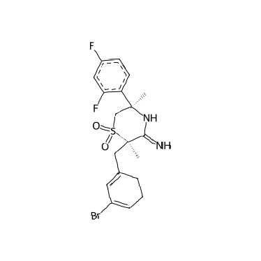 C[C@@]1(c2ccc(F)cc2F)CS(=O)(=O)[C@](C)(CC2=CC(Br)=CCC2)C(=N)N1